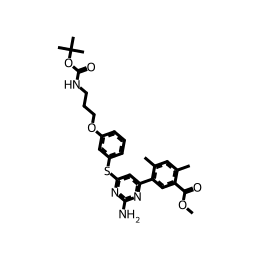 COC(=O)c1cc(-c2cc(Sc3cccc(OCCCNC(=O)OC(C)(C)C)c3)nc(N)n2)c(C)cc1C